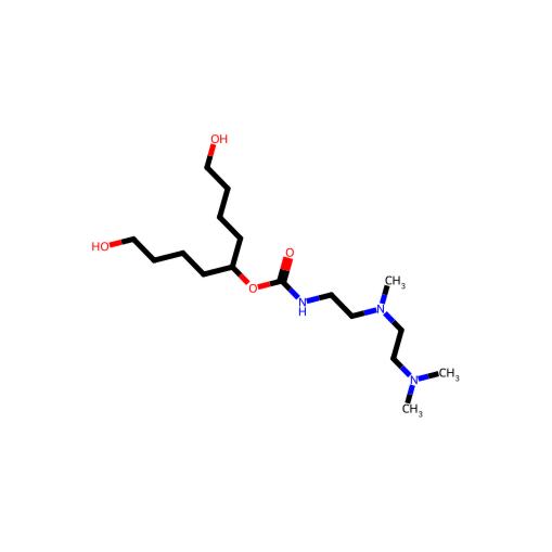 CN(C)CCN(C)CCNC(=O)OC(CCCCO)CCCCO